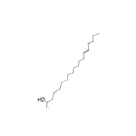 [CH2]C(O)CCCCCCCCCCCC=CCCCC